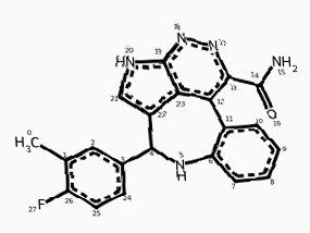 Cc1cc(C2Nc3ccccc3-c3c(C(N)=O)nnc4[nH]cc2c34)ccc1F